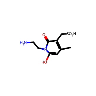 Cc1cc(O)n(CCN)c(=O)c1CS(=O)(=O)O